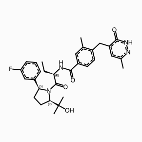 CC[C@@H](NC(=O)c1ccc(Cc2cc(C)n[nH]c2=O)c(C)c1)C(=O)N1[C@H](c2cccc(F)c2)CC[C@@H]1C(C)(C)O